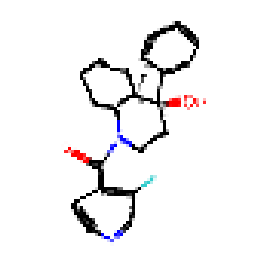 O=C(c1ccncc1F)N1CC[C@@](O)(c2ccccc2)[C@@H]2CCCCC21